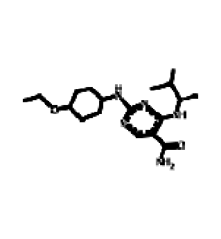 CCOC1CCC(Nc2ncc(C(N)=O)c(N[C@H](C)C(C)C)n2)CC1